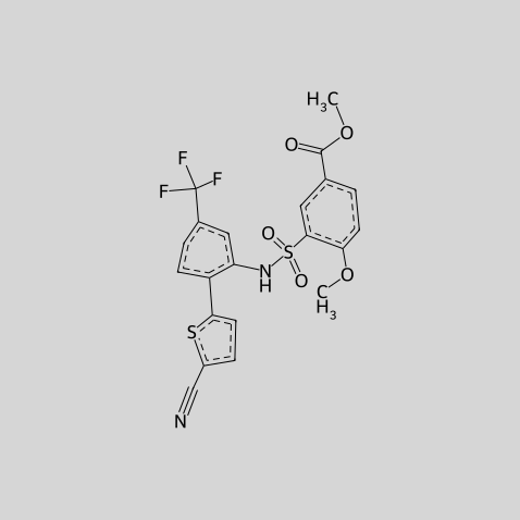 COC(=O)c1ccc(OC)c(S(=O)(=O)Nc2cc(C(F)(F)F)ccc2-c2ccc(C#N)s2)c1